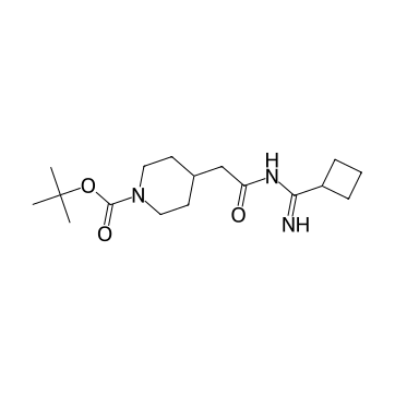 CC(C)(C)OC(=O)N1CCC(CC(=O)NC(=N)C2CCC2)CC1